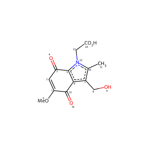 COC1=CC(=O)c2c(c(CO)c(C)n2CC(=O)O)C1=O